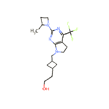 CC1CCN1c1nc2c(c(C(F)(F)F)n1)CCN2CC1CC(CCO)C1